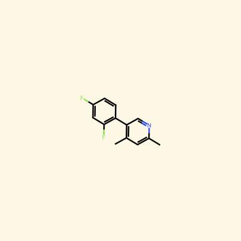 Cc1cc(C)c(-c2ccc(F)cc2F)cn1